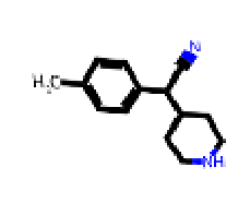 Cc1ccc(C(C#N)C2CCNCC2)cc1